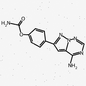 NC(=O)Oc1ccc(-c2cc3c(N)ncnn3n2)cc1